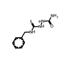 NC(=O)NNC(=S)NCc1ccccc1